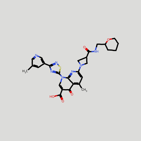 Cc1cncc(-c2nsc(-n3cc(C(=O)O)c(=O)c4c(C)cc(N5CC(C(=O)NCC6CCCCO6)C5)nc43)n2)c1